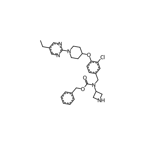 CCc1cnc(N2CCC(Oc3ccc(CN(C(=O)OCc4ccccc4)C4CNC4)cc3Cl)CC2)nc1